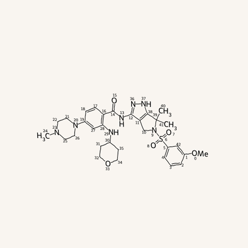 COc1cccc(S(=O)(=O)N2Cc3c(NC(=O)c4ccc(N5CCN(C)CC5)cc4NC4CCOCC4)n[nH]c3C2(C)C)c1